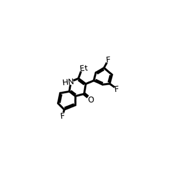 CCc1[nH]c2ccc(F)cc2c(=O)c1-c1cc(F)cc(F)c1